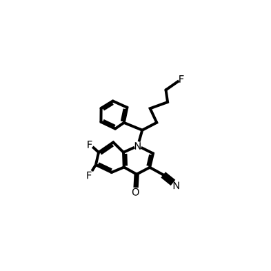 N#Cc1cn(C(CCCCF)c2ccccc2)c2cc(F)c(F)cc2c1=O